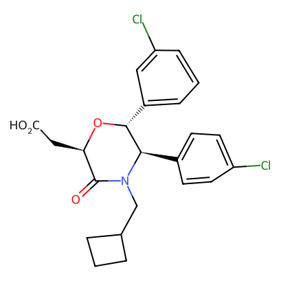 O=C(O)C[C@H]1O[C@H](c2cccc(Cl)c2)[C@@H](c2ccc(Cl)cc2)N(CC2CCC2)C1=O